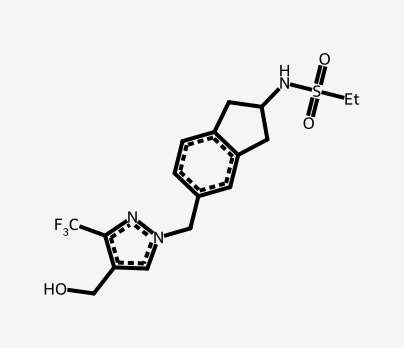 CCS(=O)(=O)NC1Cc2ccc(Cn3cc(CO)c(C(F)(F)F)n3)cc2C1